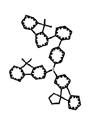 CC1(C)c2ccccc2-c2ccc(N(c3ccc(-c4ccccc4-c4cccc5c4C(C)(C)c4ccccc4-5)cc3)c3ccc4c(c3)C3(CCCC3)c3ccccc3-4)cc21